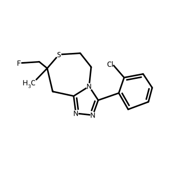 CC1(CF)Cc2nnc(-c3ccccc3Cl)n2CCS1